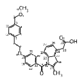 COCc1ccc(CCOc2ccc(C(=O)n3c(C)cc4c(CC(=O)O)cccc43)cc2)cc1